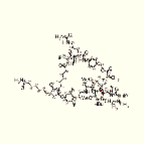 CC[C@H](C)[C@@H]([C@@H](CC(=O)N1C[C@@H](N(C)C(=O)OCc2ccc(NC(=O)[C@H](CCCNC(N)=O)NC(=O)[C@@H](NC(=O)CCCCCN3C(=O)CC(SCCCCCC(N)=O)C3=O)C(C)C)cc2)C[C@H]1[C@H](OC)[C@@H](C)C(=O)NCCc1c(F)cccc1F)OC)N(C)C(=O)[C@@H](NC(=O)[C@H](C(C)C)N(C)C)C(C)C